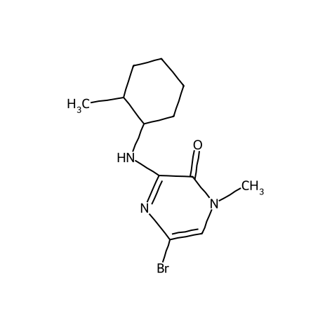 CC1CCCCC1Nc1nc(Br)cn(C)c1=O